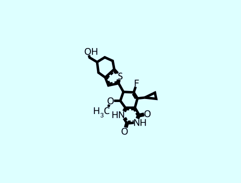 COC1c2[nH]c(=O)[nH]c(=O)c2C(C2CC2)=C(F)C1c1cc2c(s1)CCC(CO)C2